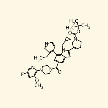 CCc1cnccc1-c1cc(C(=O)N2CCN(c3ncc(F)cc3OC)CC2)cc2cc(C3=CCCN(C(=O)OC(C)(C)C)C3)n(CC3CC3)c12